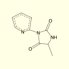 CC1NC(=O)N(c2ccccn2)C1=O